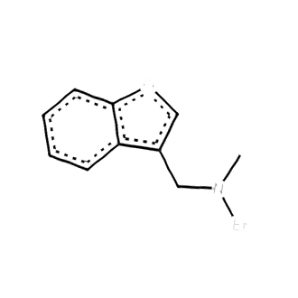 CCN(C)Cc1coc2ccccc12